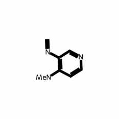 C=Nc1cnccc1NC